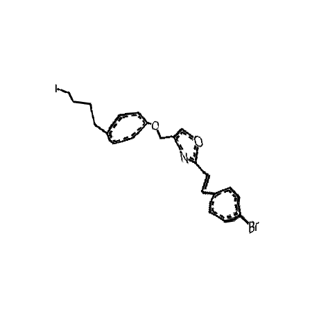 Brc1ccc(C=Cc2nc(COc3ccc(CCCCI)cc3)co2)cc1